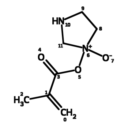 C=C(C)C(=O)O[N+]1([O-])CCNC1